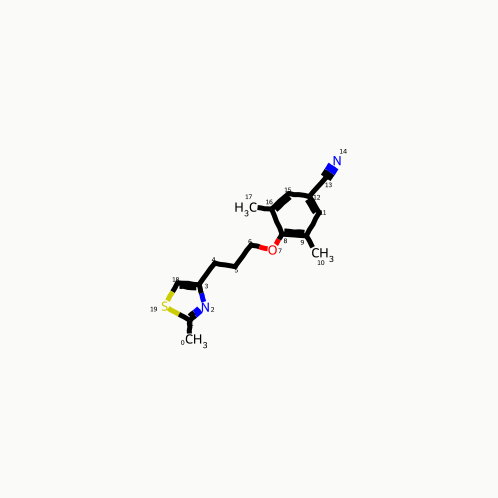 Cc1nc(CCCOc2c(C)cc(C#N)cc2C)cs1